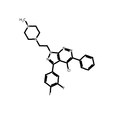 CN1CCN(CCn2nc(-c3ccc(F)c(F)c3)c3c(Cl)c(-c4ccccc4)nnc32)CC1